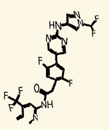 C=C/C(=C\C(=N/C)NC(=O)Cc1cc(F)c(-c2cnc(Nc3cnn(C(F)F)c3)nc2)cc1F)C(F)(F)F